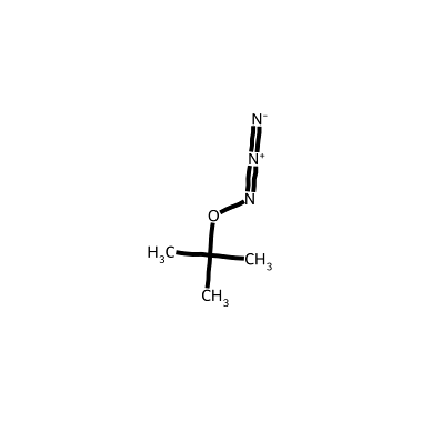 CC(C)(C)ON=[N+]=[N-]